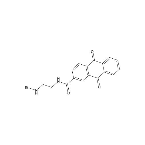 CCNCCNC(=O)c1ccc2c(c1)C(=O)c1ccccc1C2=O